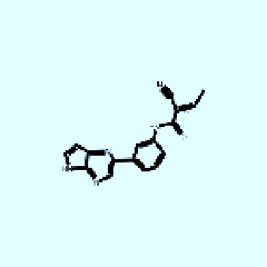 C/C=C(\C#N)C(=O)Nc1cccc(-c2cnc3[nH]ccc3n2)c1